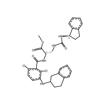 COC(=O)[C@H](CNC(=O)N[C@@H]1CCc2ccccc21)NC(=O)c1c(Cl)ccc(NC2CCc3ccccc3C2)c1Cl